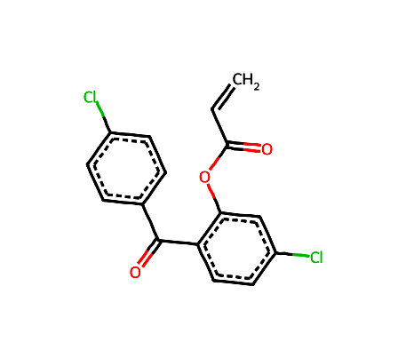 C=CC(=O)Oc1cc(Cl)ccc1C(=O)c1ccc(Cl)cc1